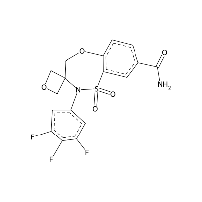 NC(=O)c1ccc2c(c1)S(=O)(=O)N(c1cc(F)c(F)c(F)c1)C1(COC1)CO2